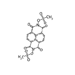 CS(=O)(=O)ON1C(=O)c2ccc3c4c(ccc(c24)C1=O)C(=O)N(OS(C)(=O)=O)C3=O